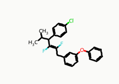 CC(C)C(/C(F)=C(\F)Cc1cccc(Oc2ccccc2)c1)c1ccc(Cl)cc1